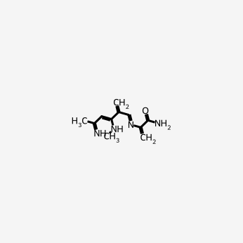 C=C(/N=C/C(=C)/C(=C/C(C)=N)NC)C(N)=O